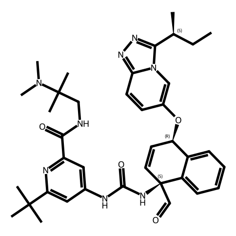 CC[C@H](C)c1nnc2ccc(O[C@@H]3C=C[C@](C=O)(NC(=O)Nc4cc(C(=O)NCC(C)(C)N(C)C)nc(C(C)(C)C)c4)c4ccccc43)cn12